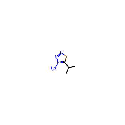 CC(C)c1snn[n+]1N